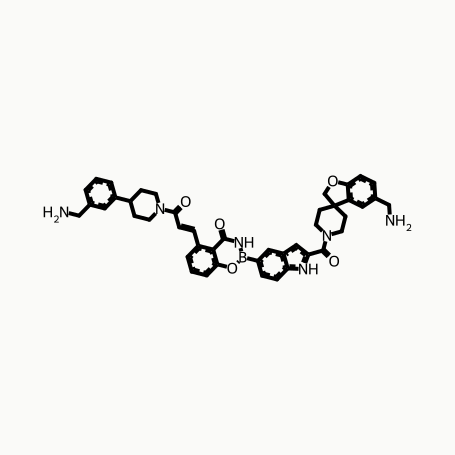 NCc1cccc(C2CCN(C(=O)C=Cc3cccc4c3C(=O)NB(c3ccc5[nH]c(C(=O)N6CCC7(CC6)COc6ccc(CN)cc67)cc5c3)O4)CC2)c1